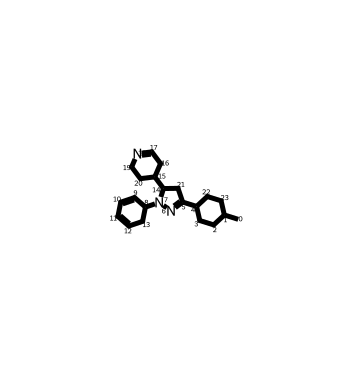 CC1CCC(C2=NN(C3C=CC=CC3)C(C3CC=NCC3)C2)CC1